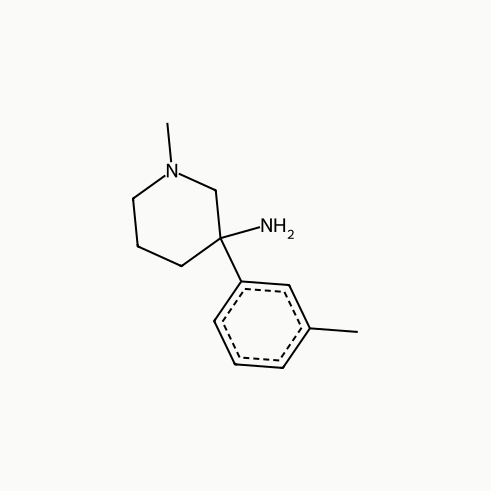 Cc1cccc(C2(N)CCCN(C)C2)c1